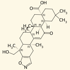 CC1(C)CC[C@]2(C(=O)O)CC[C@]3(C)[C@H](C(=O)C=C4[C@@]5(C)Cc6cnoc6[C@@](C)(CO)C5CC[C@]43C)[C@@H]2C1